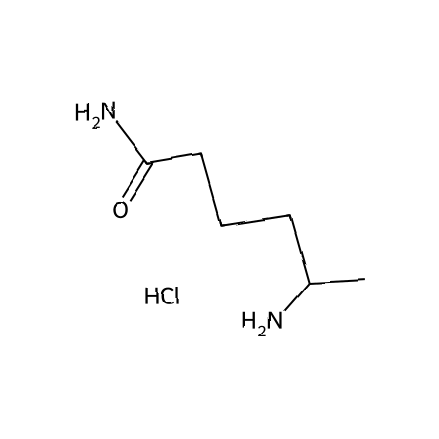 CC(N)CCCC(N)=O.Cl